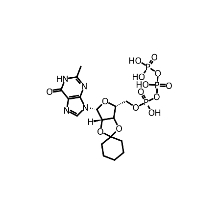 Cc1nc2c(ncn2[C@@H]2O[C@H](COP(=O)(O)OP(=O)(O)OP(=O)(O)O)C3OC4(CCCCC4)O[C@@H]32)c(=O)[nH]1